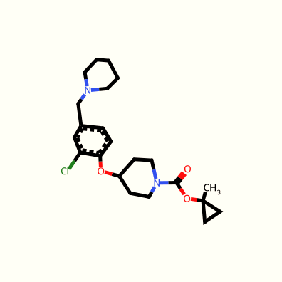 CC1(OC(=O)N2CCC(Oc3ccc(CN4CCCCC4)cc3Cl)CC2)CC1